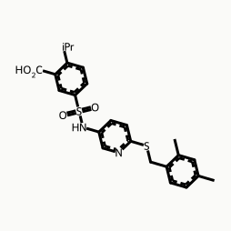 Cc1ccc(CSc2ccc(NS(=O)(=O)c3ccc(C(C)C)c(C(=O)O)c3)cn2)c(C)c1